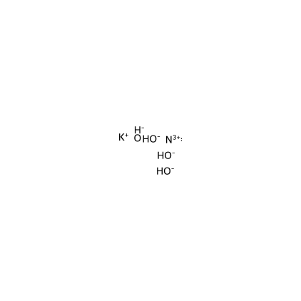 [K+].[N+3].[OH-].[OH-].[OH-].[OH-]